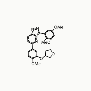 COc1ccc(OC)c(-c2nnc3ccc(-c4ccc(OC)c(O[C@H]5CCOC5)c4)nn23)c1